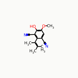 COc1cc(C#N)c(C(C)=C(C)C)c(C#N)c1O